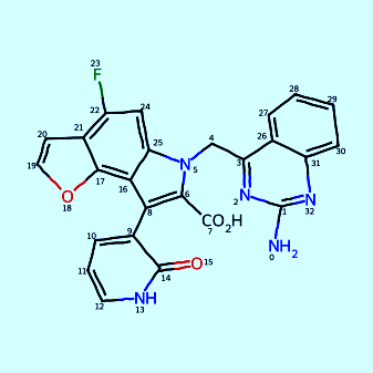 Nc1nc(Cn2c(C(=O)O)c(-c3ccc[nH]c3=O)c3c4occc4c(F)cc32)c2ccccc2n1